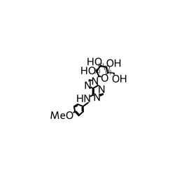 COc1ccc(CNc2ncnc3c2ncn3C2O[C@H](CO)[C@@H](O)[C@H](O)[C@H]2O)cc1